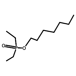 CCCCCCCOP(=O)(CC)CC